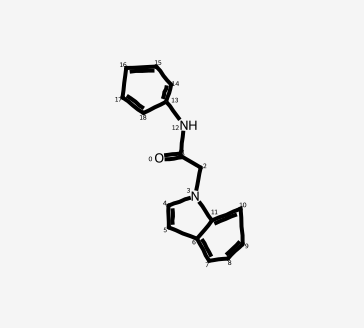 O=C(Cn1ccc2ccccc21)Nc1ccccc1